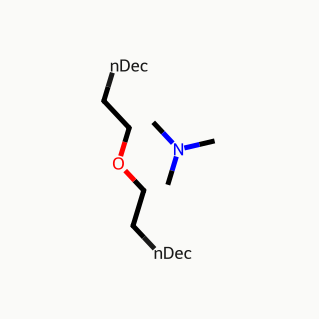 CCCCCCCCCCCCOCCCCCCCCCCCC.CN(C)C